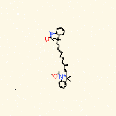 C=C(C=CC1=[N+](C(C)OC)c2ccccc2C1(C)C)CCCC=CCCC(C)(C)c1ccccc1N(C)C(C)OC